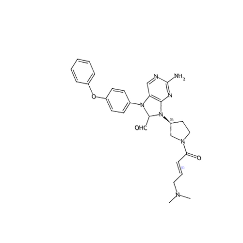 CN(C)C/C=C/C(=O)N1CC[C@H](N2c3nc(N)ncc3N(c3ccc(Oc4ccccc4)cc3)C2C=O)C1